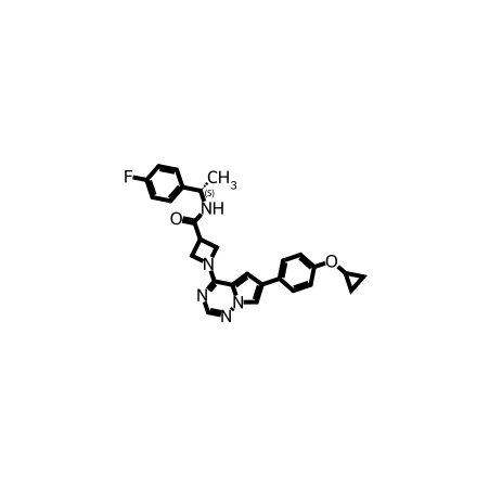 C[C@H](NC(=O)C1CN(c2ncnn3cc(-c4ccc(OC5CC5)cc4)cc23)C1)c1ccc(F)cc1